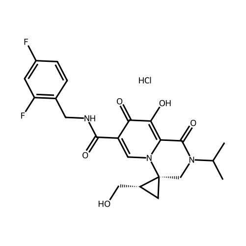 CC(C)N1C[C@@]2(C[C@@H]2CO)n2cc(C(=O)NCc3ccc(F)cc3F)c(=O)c(O)c2C1=O.Cl